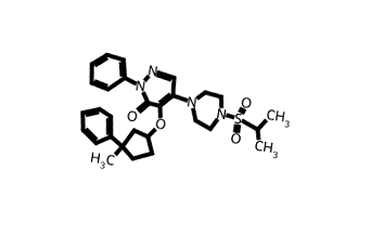 CC(C)S(=O)(=O)N1CCN(c2cnn(-c3ccccc3)c(=O)c2OC2CCC(C)(c3ccccc3)C2)CC1